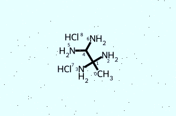 CC(N)(N)C(N)N.Cl.Cl